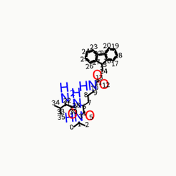 CC(C)NC(=O)[C@H](CCCNC(=O)OCC1c2ccccc2-c2ccccc21)NC(=O)[C@@H](N)C(C)C